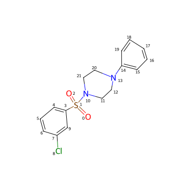 O=S(=O)(c1cccc(Cl)c1)N1CCN(c2ccccc2)CC1